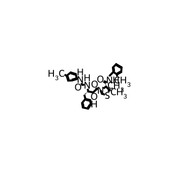 Cc1ccc(NC(=O)N[C@@H](Cc2ccccc2)[C@H](O)C(=O)N2CSC(C)(C)[C@H]2C(=O)NCc2ccccc2C)cc1